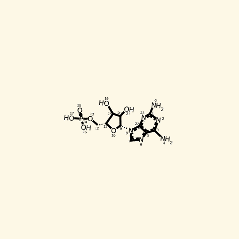 Nc1nc(N)c2ncn([C@@H]3O[C@H](COP(=O)(O)O)C(O)C3O)c2n1